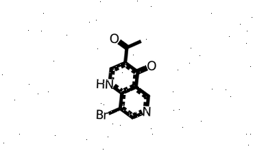 CC(=O)c1c[nH]c2c(Br)cncc2c1=O